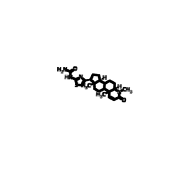 CN1C(=O)C=C[C@]2(C)C3CC[C@]4(C)[C@@H](c5csc(NC(N)=O)n5)CC[C@H]4C3CC[C@@H]12